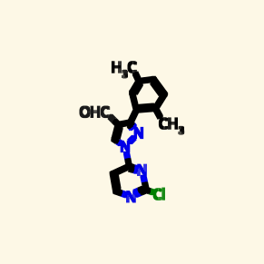 Cc1ccc(C)c(-c2nn(-c3ccnc(Cl)n3)cc2C=O)c1